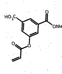 C=CC(=O)Oc1cc(C(=O)O)cc(C(=O)OC)c1